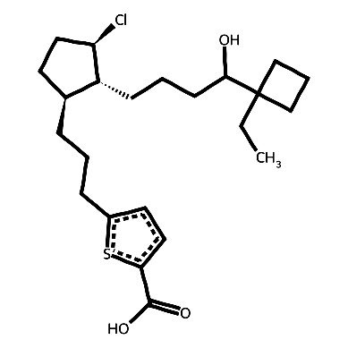 CCC1(C(O)CCC[C@@H]2[C@@H](CCCc3ccc(C(=O)O)s3)CC[C@H]2Cl)CCC1